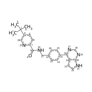 CC(C)(C)c1ccc(C(=O)NCc2ccc(-c3ncnc4[nH]ccc34)cc2)nc1